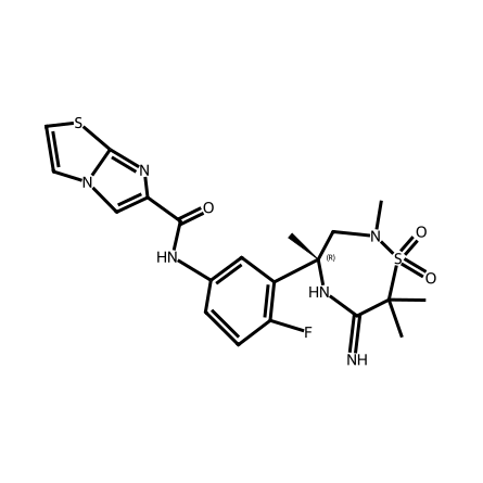 CN1C[C@@](C)(c2cc(NC(=O)c3cn4ccsc4n3)ccc2F)NC(=N)C(C)(C)S1(=O)=O